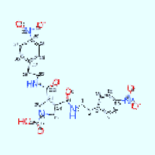 O=C(NCCc1ccc([N+](=O)[O-])cc1)C1CN(C(=O)O)CC1C(=O)NCCc1ccc([N+](=O)[O-])cc1